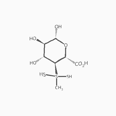 CS(S)(S)[C@H]1[C@H](O)[C@@H](O)[C@H](O)O[C@@H]1C(=O)O